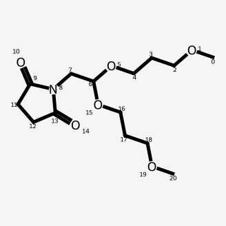 COCCCOC(CN1C(=O)CCC1=O)OCCCOC